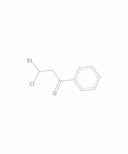 CCC(Cl)CC(=O)c1ccccc1